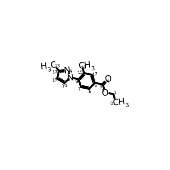 CCOC(=O)c1ccc(-n2ccc(C)n2)c(C)c1